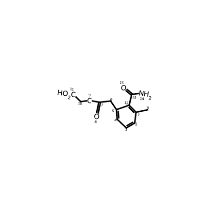 Cc1cccc(CC(=O)CCC(=O)O)c1C(N)=O